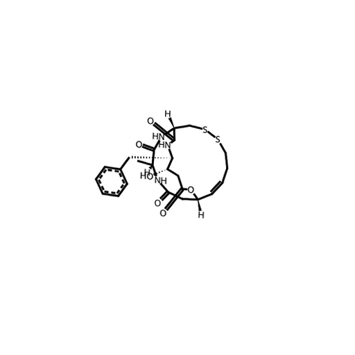 C[C@H]1NC(=O)C[C@H]2C=CCCSSC[C@@H](NC1=O)C(=O)N[C@H](Cc1ccccc1)[C@@H](O)CC(=O)O2